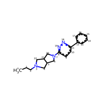 CCCN1CC2CN(c3ccc(-c4ccccc4)nn3)CC2C1